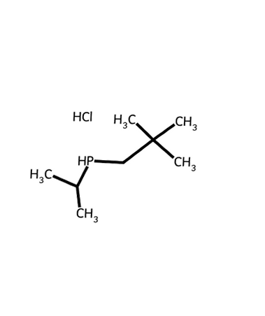 CC(C)PCC(C)(C)C.Cl